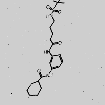 CC(C)(C)S(=O)(=O)NCCCCC(=O)Nc1cccc(NC(=O)C2CCCCC2)c1